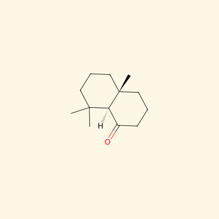 CC1(C)CCC[C@]2(C)CCCC(=O)[C@@H]12